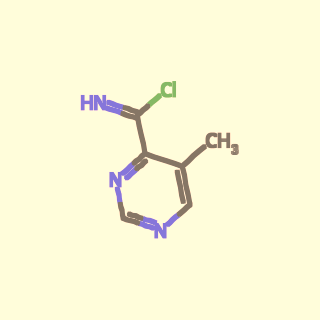 Cc1cncnc1C(=N)Cl